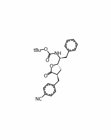 CC(C)(C)OC(=O)N[C@@H](Cc1ccccc1)[C@@H]1C[C@@H](Cc2ccc(C#N)cc2)C(=O)O1